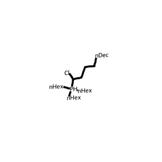 CCCCCCCCCCCCCC(Cl)[PH](CCCCCC)(CCCCCC)CCCCCC